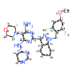 CCOc1cc(F)c(Cn2nc(-c3nc(N)c(N4CCOCC4)c(Nc4ccncn4)n3)c3ccccc32)c(F)c1